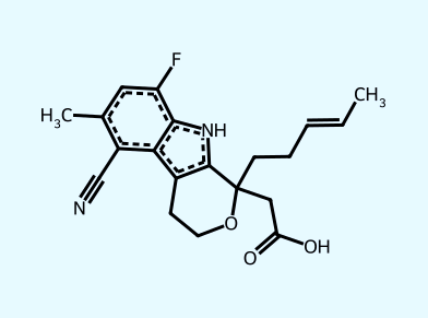 C/C=C/CCC1(CC(=O)O)OCCc2c1[nH]c1c(F)cc(C)c(C#N)c21